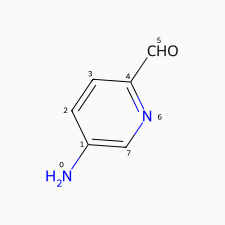 Nc1ccc(C=O)nc1